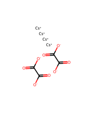 O=C([O-])C(=O)[O-].O=C([O-])C(=O)[O-].[Cs+].[Cs+].[Cs+].[Cs+]